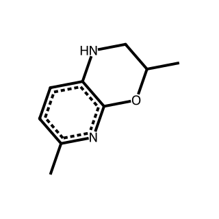 Cc1ccc2c(n1)OC(C)CN2